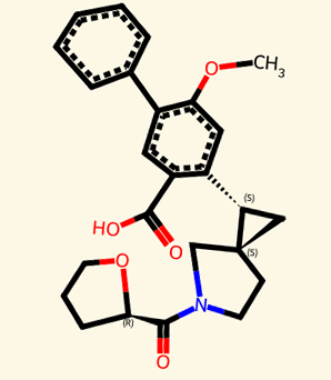 COc1cc([C@@H]2C[C@]23CCN(C(=O)[C@H]2CCCO2)C3)c(C(=O)O)cc1-c1ccccc1